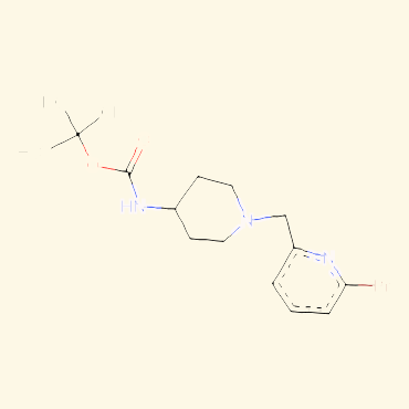 CC(C)(C)OC(=O)NC1CCN(Cc2cccc(Br)n2)CC1